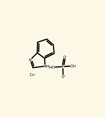 O=P([O-])(O)O.[Cs+].c1ccc2[nH]cnc2c1